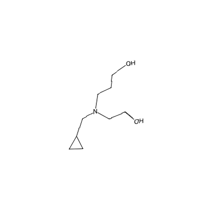 OCCCN(CCO)CC1CC1